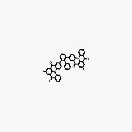 Cc1cc2c(=O)c3ccccc3n3c4ccc(-c5cccc(-c6ccc7c(c6)c(=O)c6cc(C)cc8c(=O)c9ccccc9n7c86)c5-c5ccccc5)cc4c(=O)c(c1)c23